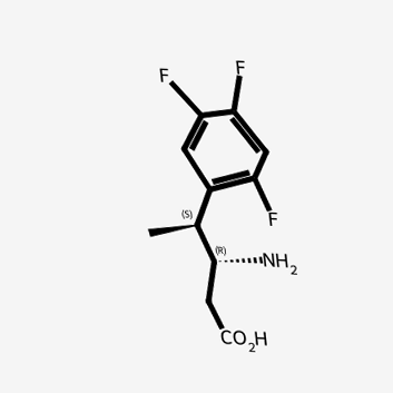 C[C@@H](c1cc(F)c(F)cc1F)[C@H](N)CC(=O)O